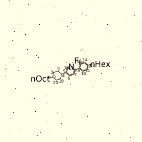 CCCCCCCCC1CCC(c2ccc(-c3ccc(CCCCCC)cc3F)nc2)CC1